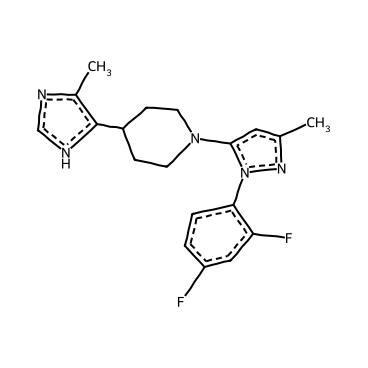 Cc1cc(N2CCC(c3[nH]cnc3C)CC2)n(-c2ccc(F)cc2F)n1